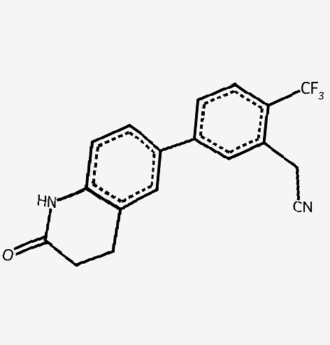 N#CCc1cc(-c2ccc3c(c2)CCC(=O)N3)ccc1C(F)(F)F